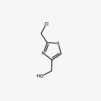 OCc1csc(CCl)n1